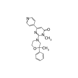 Cn1c(N2CCOC(C)(c3ccccc3)C2)nc(-c2ccncc2)cc1=O